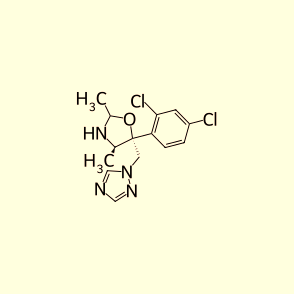 CC1N[C@H](C)[C@](Cn2cncn2)(c2ccc(Cl)cc2Cl)O1